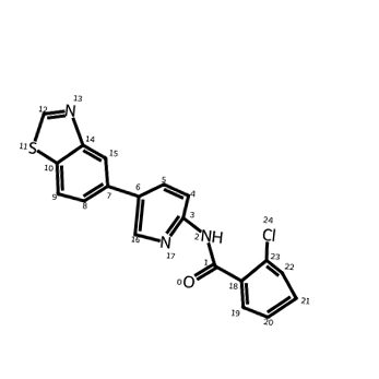 O=C(Nc1ccc(-c2ccc3scnc3c2)cn1)c1ccccc1Cl